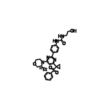 CC[C@H]1COCCN1c1cc(C2(S(=O)(=O)c3ccccc3)CC2)nc(-c2ccc(NC(=O)NCCO)cc2)n1